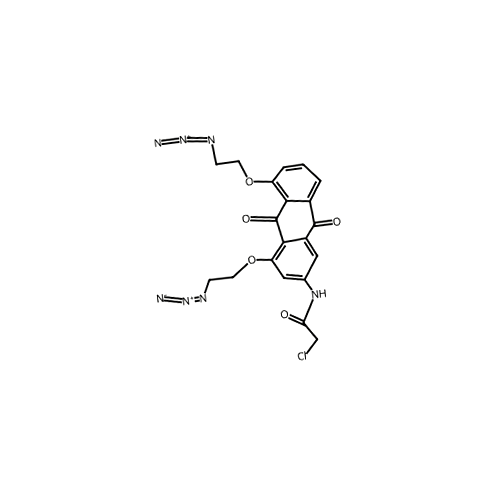 [N-]=[N+]=NCCOc1cccc2c1C(=O)c1c(OCCN=[N+]=[N-])cc(NC(=O)CCl)cc1C2=O